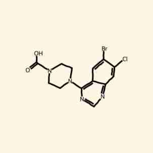 O=C(O)N1CCN(c2ncnc3cc(Cl)c(Br)cc23)CC1